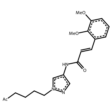 COc1cccc(C=CC(=O)Nc2cnn(CCCCC(C)=O)c2)c1OC